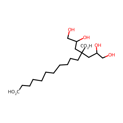 O=C(O)CCCCCCCCCCC(CC(O)CO)(CC(O)CO)C(=O)O